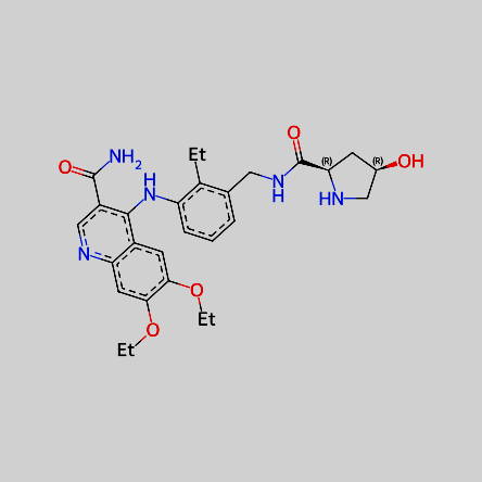 CCOc1cc2ncc(C(N)=O)c(Nc3cccc(CNC(=O)[C@H]4C[C@@H](O)CN4)c3CC)c2cc1OCC